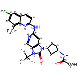 [2H]C([2H])([2H])n1c(=O)n([C@@H]2CC[C@@H](NC(=O)OC)C2)c2cc(Nc3ccc4cc(F)cc(C(F)(F)F)c4n3)ncc21